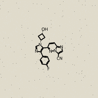 N#Cc1cnc2ccc(-c3c(-c4ccc(F)cc4)ncn3[C@H]3C[C@@H](O)C3)nn12